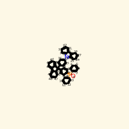 O=P(c1ccccc1)(c1ccccc1)c1ccc(C2(c3ccc(-n4c5ccccc5c5ccccc54)cc3)c3ccccc3-c3ccccc32)cc1